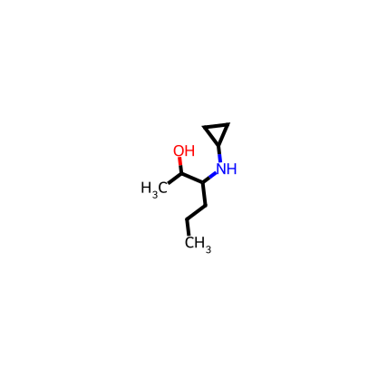 CCCC(NC1CC1)C(C)O